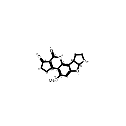 COc1cc2c(c3oc(=O)c4c(c13)CCC4=O)C1CCOC1O2